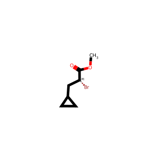 COC(=O)[C@H](Br)CC1CC1